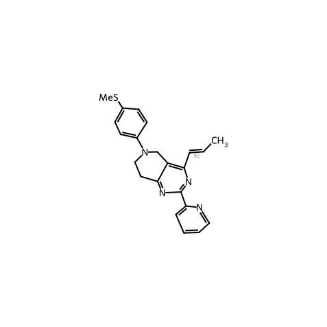 C/C=C/c1nc(-c2ccccn2)nc2c1CN(c1ccc(SC)cc1)CC2